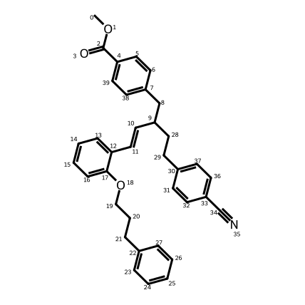 COC(=O)c1ccc(CC(C=Cc2ccccc2OCCCc2ccccc2)CCc2ccc(C#N)cc2)cc1